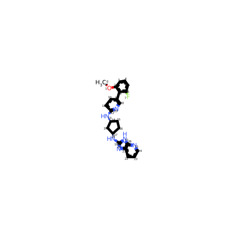 COc1cccc(F)c1-c1ccc(N[C@H]2CC[C@H](Nc3nc4cccnc4[nH]3)C2)nc1